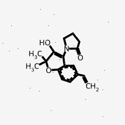 C=Cc1ccc2c(c1)C(N1CCCC1=O)=C(O)C(C)(C)O2